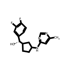 Cc1cc(NC2CCC([C@H](O)c3ccc(F)c(F)c3)C2)ncn1